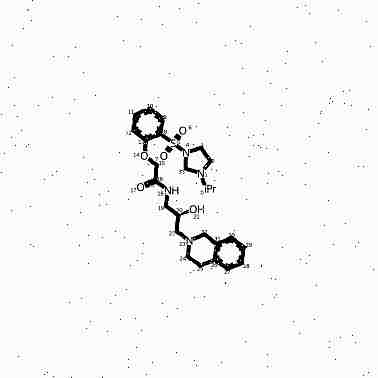 CC(C)N1CCN(S(=O)(=O)c2ccccc2OCC(=O)NC[C@@H](O)CN2CCc3ccccc3C2)C1